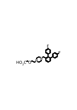 O=C(O)COCCN1CCN(Cc2cccc(-c3ccc(F)cc3)c2-c2ccc(F)cc2)CC1